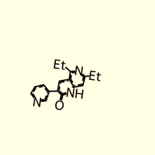 CCc1cc2[nH]c(=O)c(-c3cccnc3)cc2c(CC)n1